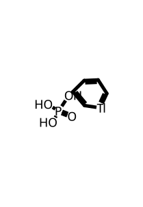 C1=C[CH]=[Tl][CH]=C1.O=P(O)(O)O